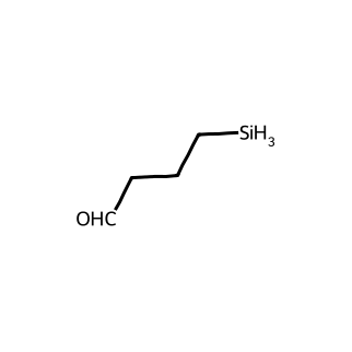 O=CCCC[SiH3]